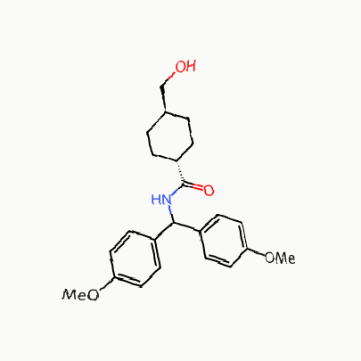 COc1ccc(C(NC(=O)[C@H]2CC[C@H](CO)CC2)c2ccc(OC)cc2)cc1